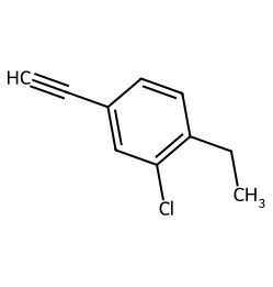 C#Cc1ccc(CC)c(Cl)c1